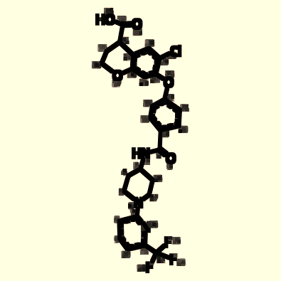 O=C(NC1CCN(c2cccc(C(F)(F)F)n2)CC1)c1ccc(Oc2cc3c(cc2Cl)C(C(=O)O)CCO3)cc1